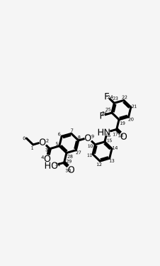 CCOC(=O)c1ccc(Oc2ccccc2NC(=O)c2cccc(F)c2F)cc1C(=O)O